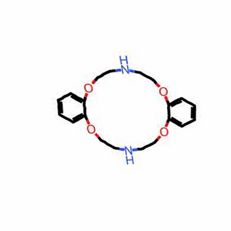 c1ccc2c(c1)OCCNCCOc1ccccc1OCCNCCO2